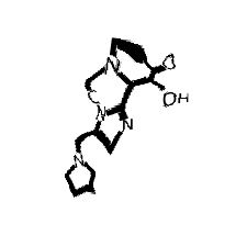 O=c1ccn2c(c1O)-c1ncc(CN3CCCC3)n1CC2